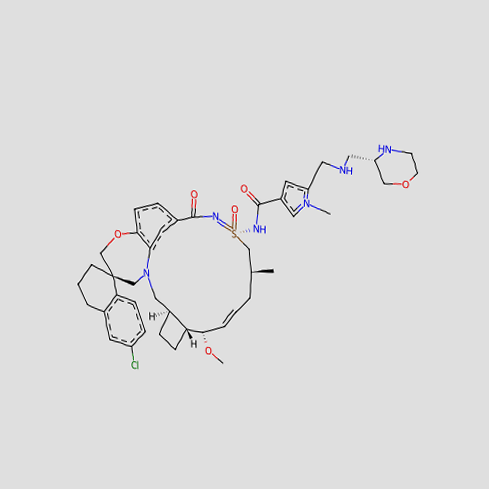 CO[C@H]1/C=C/C[C@H](C)C[S@@](=O)(NC(=O)c2cc(CNC[C@H]3COCCN3)n(C)c2)=NC(=O)c2ccc3c(c2)N(C[C@@H]2CC[C@H]21)C[C@@]1(CCCc2cc(Cl)ccc21)CO3